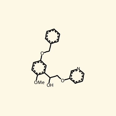 COc1ccc(OCc2ccccc2)cc1C(O)COc1cccnc1